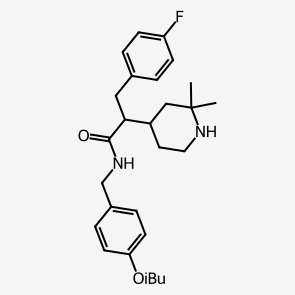 CC(C)COc1ccc(CNC(=O)C(Cc2ccc(F)cc2)C2CCNC(C)(C)C2)cc1